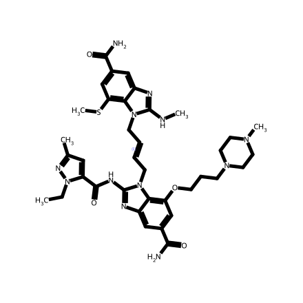 CCn1nc(C)cc1C(=O)Nc1nc2cc(C(N)=O)cc(OCCCN3CCN(C)CC3)c2n1C/C=C/Cn1c(NC)nc2cc(C(N)=O)cc(SC)c21